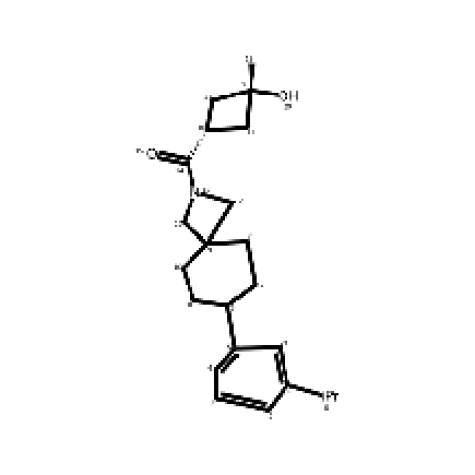 CC(C)c1cccc(C2CCC3(CC2)CN(C(=O)[C@H]2C[C@@](C)(O)C2)C3)c1